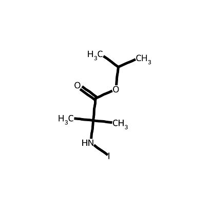 CC(C)OC(=O)C(C)(C)NI